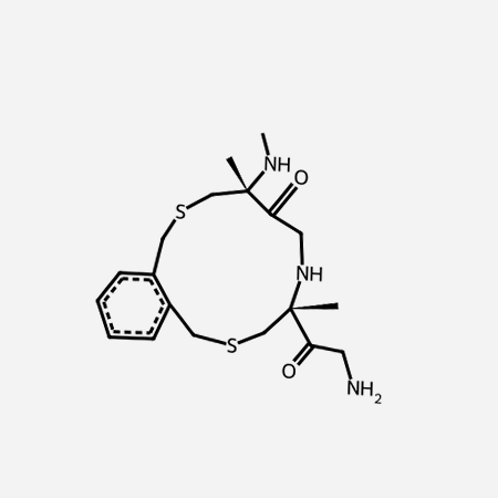 CN[C@@]1(C)CSCc2ccccc2CSC[C@@](C)(C(=O)CN)NCC1=O